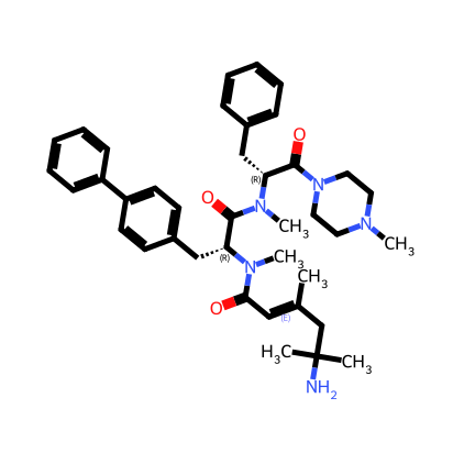 C/C(=C\C(=O)N(C)[C@H](Cc1ccc(-c2ccccc2)cc1)C(=O)N(C)[C@H](Cc1ccccc1)C(=O)N1CCN(C)CC1)CC(C)(C)N